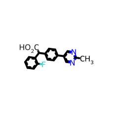 Cc1ncc(-c2ccc(C(C(=O)O)c3ccccc3F)cc2)cn1